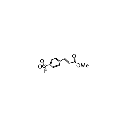 COC(=O)C=Cc1ccc(S(=O)(=O)F)cc1